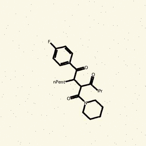 CCCCCC(C(=O)c1ccc(F)cc1)C(C(=O)C(C)C)C(=O)N1CCCCC1